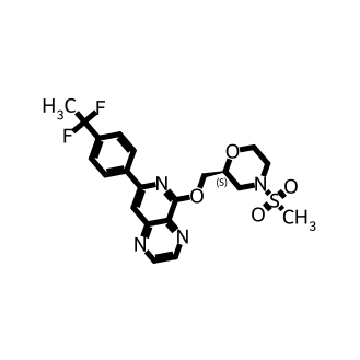 CC(F)(F)c1ccc(-c2cc3nccnc3c(OC[C@@H]3CN(S(C)(=O)=O)CCO3)n2)cc1